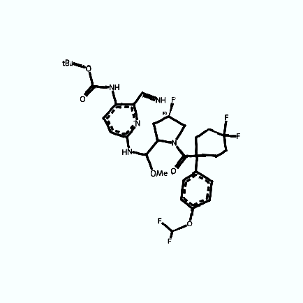 COC(Nc1ccc(NC(=O)OC(C)(C)C)c(C=N)n1)C1C[C@@H](F)CN1C(=O)C1(c2ccc(OC(F)F)cc2)CCC(F)(F)CC1